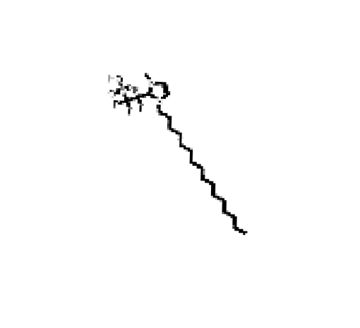 CCCCCCCCCCCCCCCCN1C=CN(C)C1C(F)(F)C(F)(F)S(=O)(=O)O